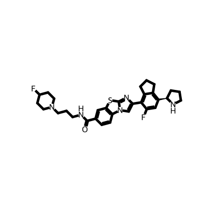 O=C(NCCCN1CCC(F)CC1)c1ccc2c(c1)sc1nc(-c3c(F)cc([C@H]4CCCN4)c4c3CCC4)cn12